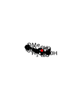 COc1cccc(OC)c1CNC(=O)Cc1cccc(C[C@@H](C)NC[C@H](O[Si](C)(C)C(C)(C)C)c2ccc(O)c(CO)c2)c1